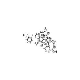 CCCN(CCCc1ccccc1C)c1cc(C)c(C(=O)N[C@H]2CCC[C@@H](C(=O)O)C2)cc1NC(=O)c1coc(C2CC2)n1